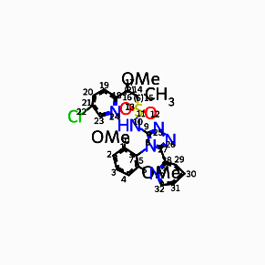 COc1cccc(OC)c1-n1c(NS(=O)(=O)[C@@H](C)[C@H](OC)c2ccc(Cl)cn2)nnc1-c1ccccn1